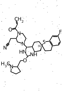 C=CC(=O)N1CCN(C2NC(OCC3CCCN3C)NC3C[C@@]4(CCc5ccc(F)cc5S4)CCC32)CC1CC#N